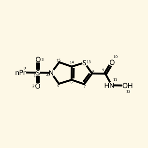 CCCS(=O)(=O)N1Cc2cc(C(=O)NO)sc2C1